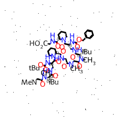 CC[C@H](C)[C@@H](C(=O)NC[C@@H](NC(=O)OC(C)(C)C)C(=O)N1CCCC[C@H]1C(=O)NCC(=O)N(C)CC(=O)N(C)[C@H](C(=O)NC[C@@H](NC(=O)OCc1ccccc1)C(=O)N1CCCC[C@H]1C(=O)NCC(=O)O)[C@@H](C)CC)N(C)C(=O)CNC